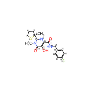 Cn1c(C2(C)CCCS2)nc(C(=O)NCc2ccc(F)cc2)c(O)c1=O